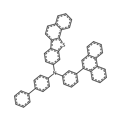 c1ccc(-c2ccc(N(c3cccc(-c4cc5ccccc5c5ccccc45)c3)c3ccc4c(c3)sc3c5ccccc5ccc43)cc2)cc1